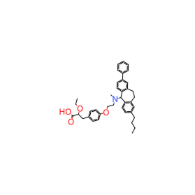 CCCCc1ccc2c(c1)CCc1cc(-c3ccccc3)ccc1C2N(C)CCOc1ccc(CC(OCC)C(=O)O)cc1